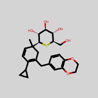 CC1([C@@H]2S[C@H](CO)[C@@H](O)[C@H](O)[C@H]2O)C=CC(C2CC2)=C(Cc2ccc3c(c2)OCCO3)C1